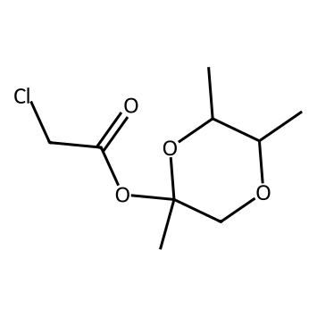 CC1OCC(C)(OC(=O)CCl)OC1C